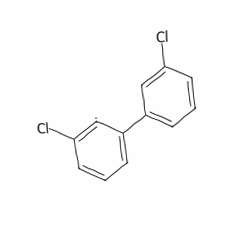 Clc1[c]c(-c2cccc(Cl)c2)ccc1